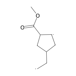 [CH2]CC1C[CH]C(C(=O)OC)C1